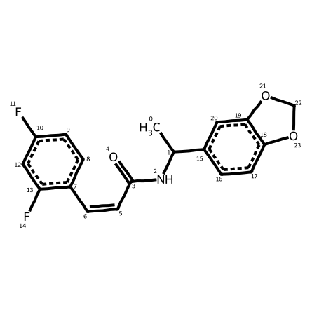 CC(NC(=O)/C=C\c1ccc(F)cc1F)c1ccc2c(c1)OCO2